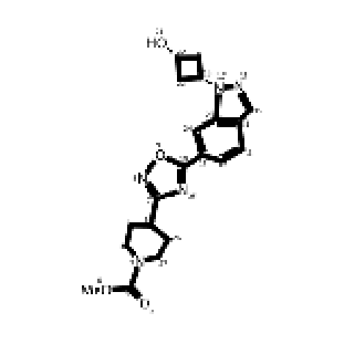 COC(=O)N1CCC(c2noc(-c3ccc4cnn([C@H]5C[C@@H](O)C5)c4c3)n2)CC1